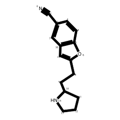 N#Cc1ccc2oc(CCC3CCCN3)cc2c1